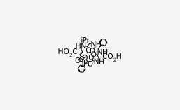 CC(C)[C@H](NC(=O)[C@@H](NC(=O)[C@H](CC(=O)O)NC(=O)OCc1ccccc1)c1ccccc1)C(=O)N[C@H](/C=C/S(=O)(=O)C(C)C)CC(=O)O